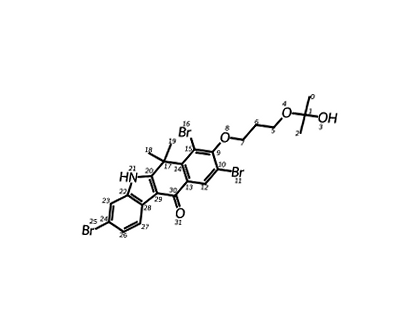 CC(C)(O)OCCCOc1c(Br)cc2c(c1Br)C(C)(C)c1[nH]c3cc(Br)ccc3c1C2=O